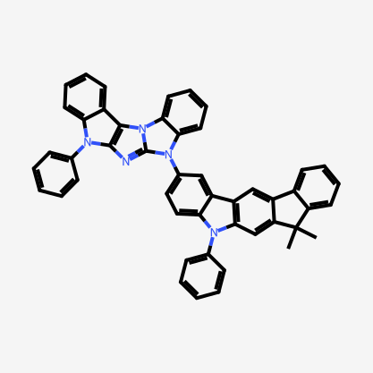 CC1(C)c2ccccc2-c2cc3c4cc(-n5c6ccccc6n6c7c8ccccc8n(-c8ccccc8)c7nc56)ccc4n(-c4ccccc4)c3cc21